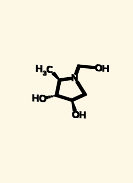 C[C@@H]1[C@@H](O)[C@H](O)CN1CO